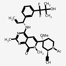 C#C[C@H]1C[C@@](OC)(c2cc3c(N[C@H](C=C)c4cccc(C(F)(F)C(C)(C)O)c4)nc(C)nc3c(=O)n2C)CCN1C(C)=O